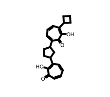 O=c1ccccc(C2CCC(c3cccc(C4CCC4)c(O)c3=O)C2)c1O